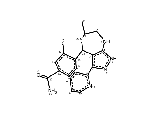 CC1CNc2[nH]nc(-c3ccccn3)c2C(c2ccc(C(N)=O)cc2Cl)S1